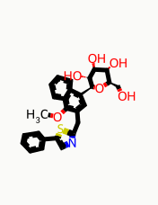 COc1c(Cc2ncc(-c3ccccc3)s2)cc([C@@H]2O[C@H](CO)[C@@H](O)[C@H](O)[C@H]2O)c2ccccc12